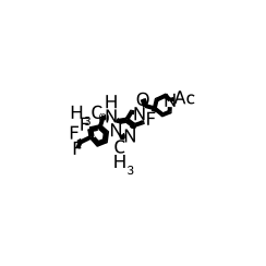 CC(=O)N1CCC(F)(C(=O)N2Cc3nc(C)nc(N[C@H](C)c4cccc(C(F)F)c4F)c3C2)CC1